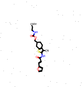 COCCNC(=O)OCC1CCc2c(sc(NC(=O)C=Cc3ccco3)c2C#N)C1